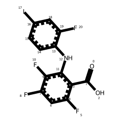 O=C(O)c1c(F)cc(F)c(F)c1Nc1ccc(I)cc1F